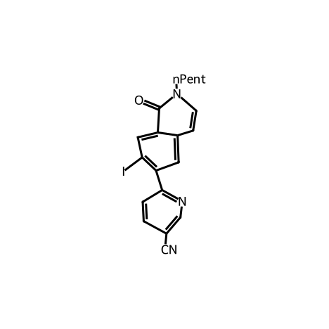 CCCCCn1ccc2cc(-c3ccc(C#N)cn3)c(I)cc2c1=O